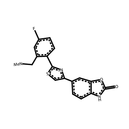 CNCc1cc(F)ccc1-c1nc(-c2ccc3[nH]c(=O)oc3c2)cs1